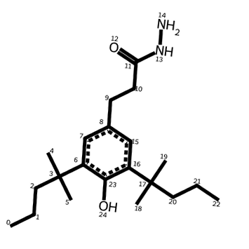 CCCC(C)(C)c1cc(CCC(=O)NN)cc(C(C)(C)CCC)c1O